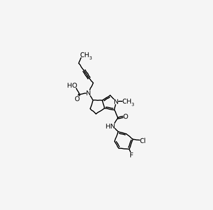 CCC#CCN(C(=O)O)C1CCc2c1cn(C)c2C(=O)Nc1ccc(F)c(Cl)c1